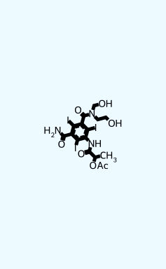 CC(=O)OC(C)C(=O)Nc1c(I)c(C(N)=O)c(I)c(C(=O)N(CO)CCO)c1I